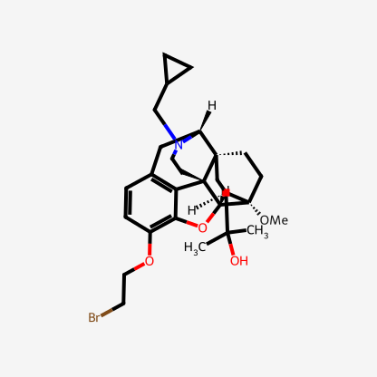 CO[C@@]12CC[C@@]3(C[C@@H]1C(C)(C)O)[C@H]1Cc4ccc(OCCBr)c5c4[C@@]3(CCN1CC1CC1)[C@H]2O5